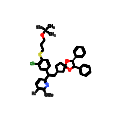 CCc1ccc(/C(=C/[C@H]2CCC3(C2)O[C@H](c2ccccc2)[C@@H](c2ccccc2)O3)c2ccc(SCCCO[Si](C)(C)C(C)(C)C)c(Cl)c2)nc1OC